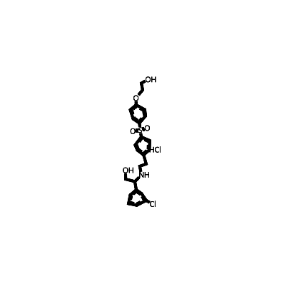 Cl.O=S(=O)(c1ccc(CCNC(CO)c2cccc(Cl)c2)cc1)c1ccc(OCCO)cc1